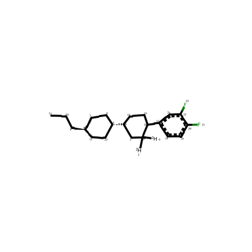 [2H]C1([2H])CC([C@H]2CC[C@H](CCC)CC2)CCC1c1ccc(F)c(F)c1